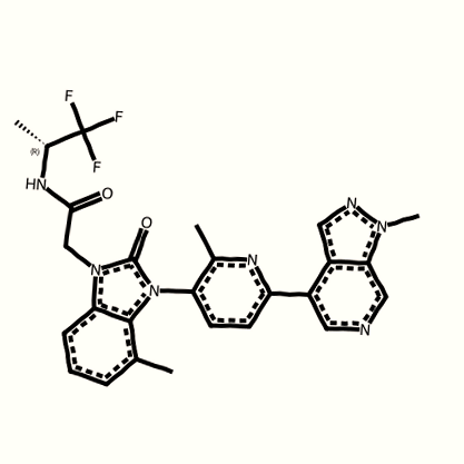 Cc1nc(-c2cncc3c2cnn3C)ccc1-n1c(=O)n(CC(=O)N[C@H](C)C(F)(F)F)c2cccc(C)c21